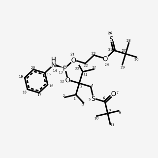 CC(C)C(CSC(=O)C(C)(C)C)(O[P@@](Nc1ccccc1)OCCOC(=S)C(C)(C)C)C(C)C